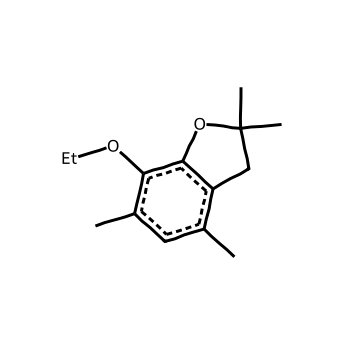 CCOc1c(C)cc(C)c2c1OC(C)(C)C2